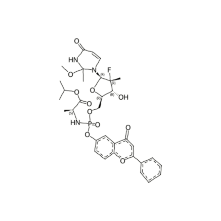 COC1(C)NC(=O)C=CN1[C@@H]1O[C@H](COP(=O)(N[C@@H](C)C(=O)OC(C)C)Oc2ccc3oc(-c4ccccc4)cc(=O)c3c2)[C@@H](O)[C@@]1(C)F